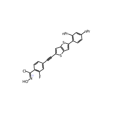 CCCc1ccc(-c2cc3sc(C#Cc4ccc(/C(Cl)=N/O)c(F)c4)cc3s2)c(CCC)c1